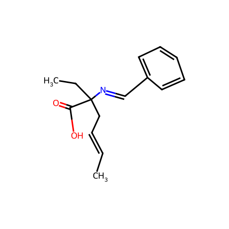 CC=CCC(CC)(N=Cc1ccccc1)C(=O)O